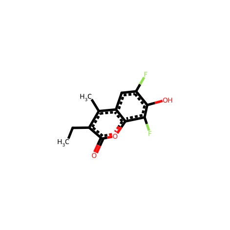 CCc1c(C)c2cc(F)c(O)c(F)c2oc1=O